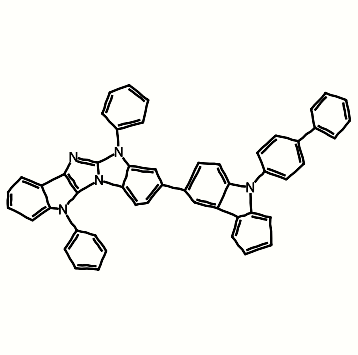 c1ccc(-c2ccc(-n3c4ccccc4c4cc(-c5ccc6c(c5)n(-c5ccccc5)c5nc7c8ccccc8n(-c8ccccc8)c7n65)ccc43)cc2)cc1